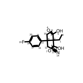 CCC(C(=O)O)(C(=O)O)C(CC)(CC#N)c1ccc(F)cc1